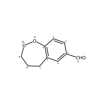 O=[C]c1ccc2c(c1)CCCOO2